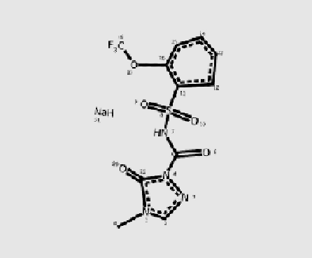 Cn1cnn(C(=O)NS(=O)(=O)c2ccccc2OC(F)(F)F)c1=O.[NaH]